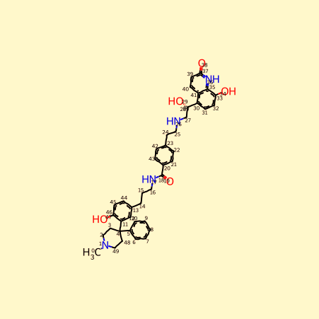 CN1CCC(c2ccccc2)(c2cc(CCCNC(=O)c3ccc(CCNC[C@H](O)c4ccc(O)c5[nH]c(=O)ccc45)cc3)ccc2O)CC1